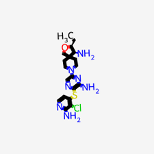 CC[C@@H]1OCC2(CCN(c3cnc(Sc4ccnc(N)c4Cl)c(N)n3)CC2)[C@@H]1N